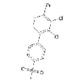 CC(C)C1=C(Cl)C(Cl)=C(c2ccc(S(C)(=O)=O)cc2)C[CH]1